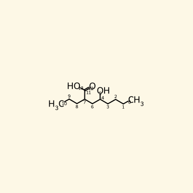 CCCCC(O)CC(CCC)C(=O)O